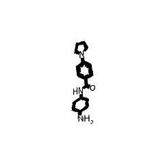 NC1CCC(NC(=O)c2ccc(N3CCCC3)cc2)CC1